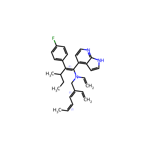 C=C/C(=C\C=C/C)CN(C=C)/C(=C(/c1ccc(F)cc1)C(C)CC)c1ccnc2[nH]ccc12